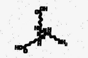 NCCCCNc1nc(NCCCCCC(=O)O)nc(NCCCCCC(=O)O)n1